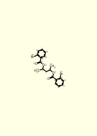 CC(CC(C)OC(=O)c1ccccc1Br)OC(=O)c1ccccc1Br